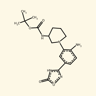 CC(C)(C)OC(=O)NC1CCCN(c2cc(-c3noc(=O)[nH]3)ccc2N)C1